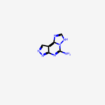 Nc1nc2nncc-2c2nc[nH]n12